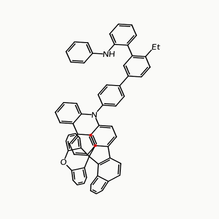 CCc1ccc(-c2ccc(N(c3ccc4c(c3)C3(c5ccccc5Oc5ccccc53)c3c-4ccc4ccccc34)c3ccccc3-c3ccccc3)cc2)cc1-c1ccccc1Nc1ccccc1